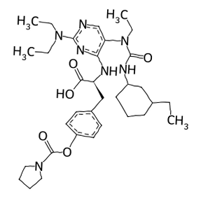 CCC1CCCC(NC(=O)N(CC)c2cnc(N(CC)CC)nc2N[C@@H](Cc2ccc(OC(=O)N3CCCC3)cc2)C(=O)O)C1